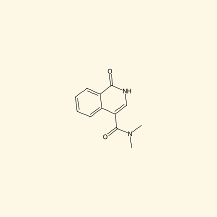 CN(C)C(=O)c1c[nH]c(=O)c2ccccc12